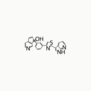 O[C@]1(c2cccc(-c3csc(-c4c[nH]c5ncccc45)n3)c2)C=Cc2ccncc21